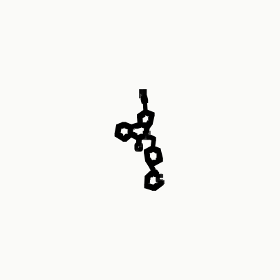 N#Cc1ccc2c(c1)c1ccccc1c(=O)n2Cc1ccc(-c2ccccc2)cc1